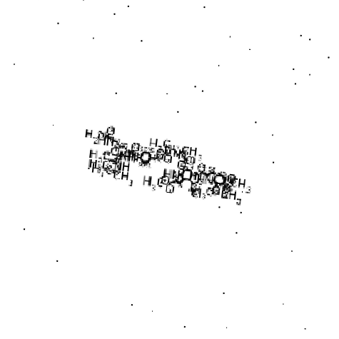 COC(=O)c1cc2c3c(cc(OC(=O)N(C)CCN(C)C(=O)OCc4ccc(NC(=O)[C@H](CCCNC(N)=O)NC(=O)[C@@H](NC(C)C)C(C)C)cc4)c2[nH]1)N(C(=O)c1cc2cc(OC)c(OC)c(OC)c2[nH]1)C[C@H]3CCl